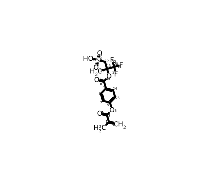 C=C(C)C(=O)Oc1ccc(C(=O)OC(C)(CS(=O)(=O)O)C(F)(F)F)cc1